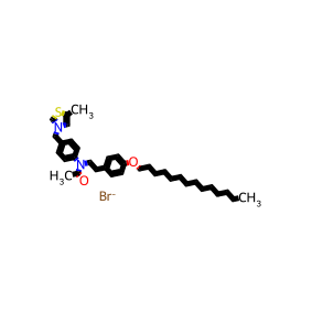 CCCCCCCCCCCCCCOc1ccc(CCN(C(C)=O)c2ccc(C[n+]3csc(C)c3)cc2)cc1.[Br-]